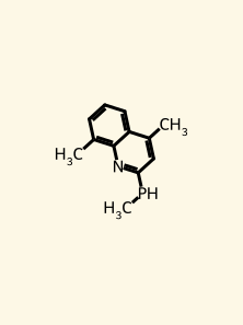 CPc1cc(C)c2cccc(C)c2n1